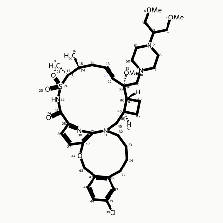 COCC(COC)N1CCN(C[C@]2(OC)/C=C/C[C@H](C)[C@@H](C)S(=O)(=O)NC(=O)c3ccc4c(n3)N(CCCCc3cc(Cl)ccc3CO4)C[C@@H]3CC[C@H]32)CC1